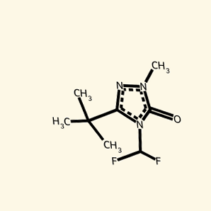 Cn1nc(C(C)(C)C)n(C(F)F)c1=O